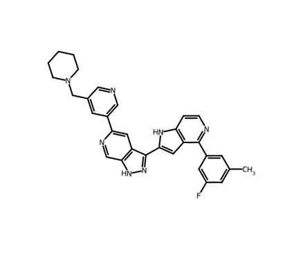 Cc1cc(F)cc(-c2nccc3[nH]c(-c4n[nH]c5cnc(-c6cncc(CN7CCCCC7)c6)cc45)cc23)c1